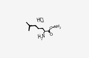 CC(C)CCC[C@H](N)C(=O)ON.Cl